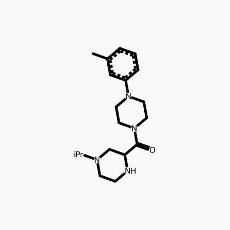 Cc1cccc(N2CCN(C(=O)C3CN(C(C)C)CCN3)CC2)c1